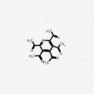 CC(=O)c1nc(C(C)=O)c(C(C)=O)c(C(C)=O)c1C(C)=O